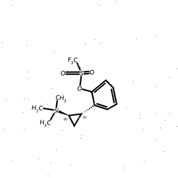 C[Si](C)(C)[C@@H]1C[C@H]1c1ccccc1OS(=O)(=O)C(F)(F)F